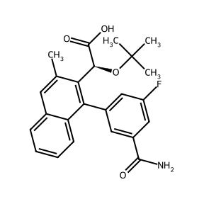 Cc1cc2ccccc2c(-c2cc(F)cc(C(N)=O)c2)c1[C@H](OC(C)(C)C)C(=O)O